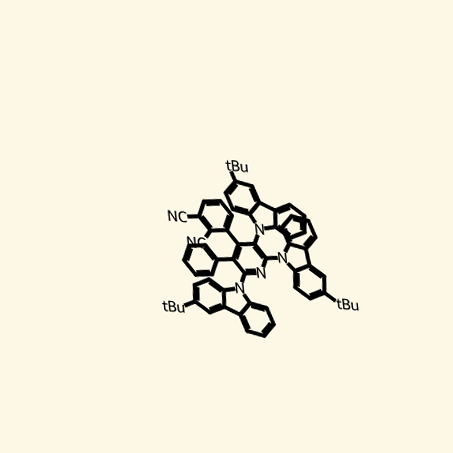 CC(C)(C)c1ccc2c(c1)c1ccccc1n2-c1nc(-n2c3ccccc3c3cc(C(C)(C)C)ccc32)c(-n2c3ccccc3c3cc(C(C)(C)C)ccc32)c(-c2cccc(C#N)c2C#N)c1-c1ccccc1